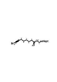 CCCCCCCCOC(=O)CCCCCC#CBr